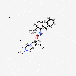 CC[C@H]1CCCC(=C\c2ccccc2)/C1=N/OC[C@H](C)CN1CCN(C)CC1